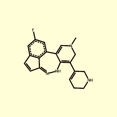 CN1C=C2C(=C(C3=CCCNC3)C1)NN=C1C=Cc3cc(F)cc2c31